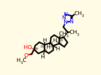 COC[C@@]1(O)CC[C@H]2[C@H](CC[C@@H]3[C@@H]2CC[C@]2(C)[C@@H](C(C)Cn4nnc(C)n4)CC[C@@H]32)C1